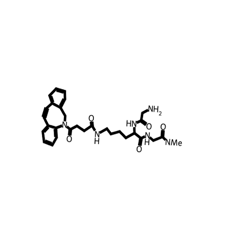 CNC(=O)CNC(=O)C(CCCCNC(=O)CCC(=O)N1Cc2ccccc2C#Cc2ccccc21)NC(=O)CN